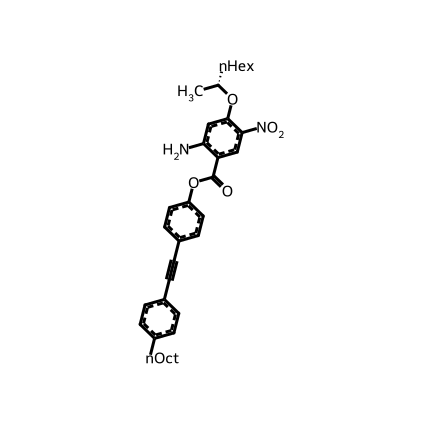 CCCCCCCCc1ccc(C#Cc2ccc(OC(=O)c3cc([N+](=O)[O-])c(O[C@H](C)CCCCCC)cc3N)cc2)cc1